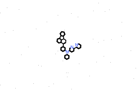 C1=C(c2cccc(N(c3ccccc3)c3ccc(-c4ccccn4)nc3)c2)c2cccc3c2C(C1)c1ccccc1-3